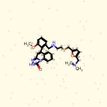 COc1cccc(CNCCSCc2ccc(CN(C)C)o2)c1-c1cc2n[nH]c(=O)n2c2ccccc12